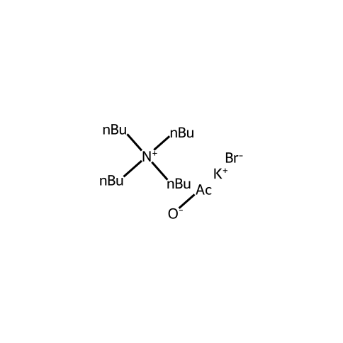 CC(=O)[O-].CCCC[N+](CCCC)(CCCC)CCCC.[Br-].[K+]